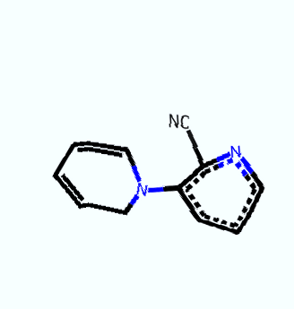 N#Cc1ncccc1N1C=CC=CC1